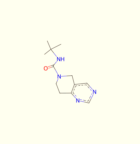 CC(C)(C)NC(=O)N1CCc2ncncc2C1